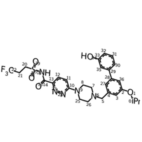 CC(C)Oc1cc(CN2CCN(c3ccc(C(=O)NS(=O)(=O)CCC(F)(F)F)nn3)CC2)cc(-c2cccc(O)c2)c1